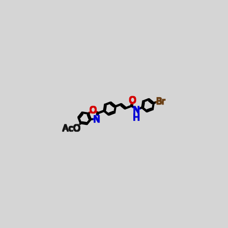 CC(=O)Oc1ccc2oc(-c3ccc(C=CC(=O)Nc4ccc(Br)cc4)cc3)nc2c1